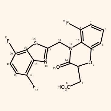 O=C(O)CC1Oc2cccc(F)c2N(Cc2nc3c(F)ccc(F)c3s2)C1=O